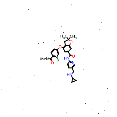 CNC(=O)c1ccc(Oc2cc(C(=O)Nc3ccc(CNC4CC4)cn3)cc3c2CC(C)(C)O3)cc1F